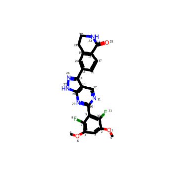 COc1cc(OC)c(F)c(-c2ncc3c(-c4ccc5c(c4)CCNC5=O)n[nH]c3n2)c1F